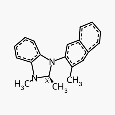 Cc1cc2ccccc2cc1N1c2ccccc2N(C)[C@@H]1C